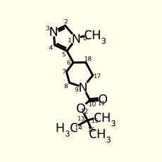 Cn1cncc1C1CCN(C(=O)OC(C)(C)C)CC1